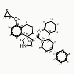 O=C([C@@H]1CNC[C@]12CCCc1c(OC3CC3)cccc12)N1CC[C@@H](c2ccccc2)C[C@H]1C1CCCCC1